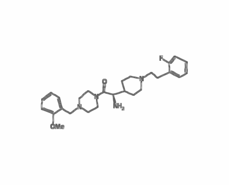 COc1ccccc1CN1CCN(C(=O)[C@H](N)C2CCN(CCc3ccccc3F)CC2)CC1